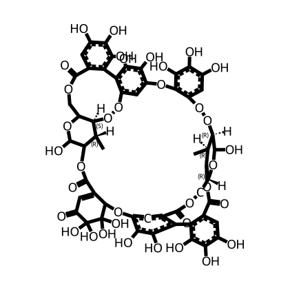 C[C@@H]1C2OC(=O)C3=CC(=O)C(O)(O)C(O)(O)C3Oc3cc4c(c(O)c3O)-c3c(cc(O)c(O)c3O)C(=O)OC3[C@@H](C)[C@@H](OOc5cc(O)c(O)c(O)c5Oc5cc6c(c(O)c5O)-c5c(cc(O)c(O)c5O)C(=O)OCC(OC2O)[C@H]1OO6)C(O)O[C@@H]3COC4=O